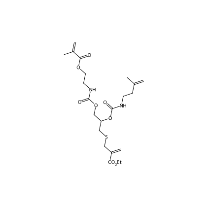 C=C(C)CCNC(=O)OC(COC(=O)NCCOC(=O)C(=C)C)CSCC(=C)C(=O)OCC